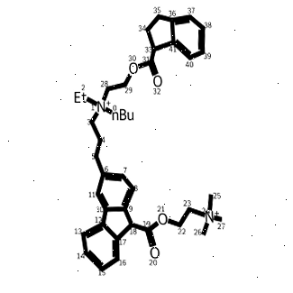 CCCC[N+](CC)(CCCc1ccc2c(c1)-c1ccccc1C2C(=O)OCC[N+](C)(C)C)CCOC(=O)C1CCc2ccccc21